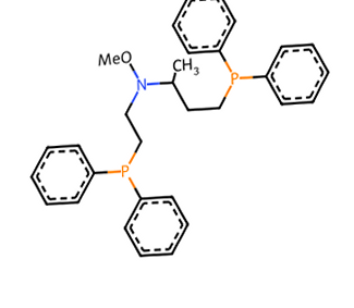 CON(CCP(c1ccccc1)c1ccccc1)C(C)CCP(c1ccccc1)c1ccccc1